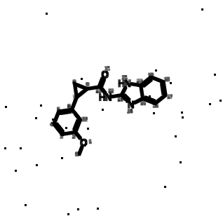 COc1cccc(C2CC2C(=O)Nc2nc3ccccc3[nH]2)c1